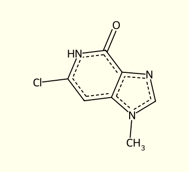 Cn1cnc2c(=O)[nH]c(Cl)cc21